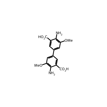 COc1cc(-c2cc(OC)c(N)c(C(=O)O)c2)cc(C(=O)O)c1N